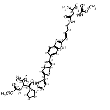 COC(=O)N[C@H](C(=O)NCC/C=C/c1nc2ccc(C3=CC4SC(c5cnc([C@@H]6CCCN6C(=O)[C@@H](NC(=O)OC)C(C)C)[nH]5)=CC4S3)cc2[nH]1)C(C)C